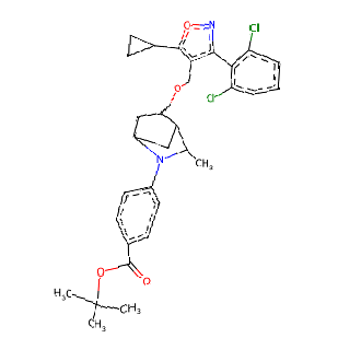 CC1C2CC(CC2OCc2c(-c3c(Cl)cccc3Cl)noc2C2CC2)N1c1ccc(C(=O)OC(C)(C)C)cc1